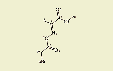 COC(=O)C(C)=NOC(=O)CBr